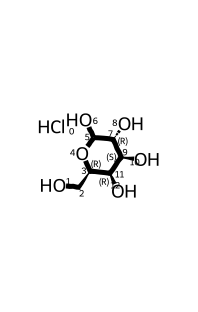 Cl.OC[C@H]1OC(O)[C@H](O)[C@@H](O)[C@H]1O